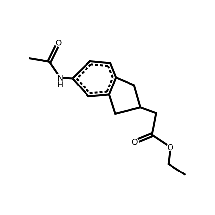 CCOC(=O)CC1Cc2ccc(NC(C)=O)cc2C1